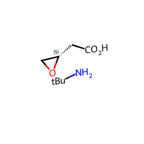 CC(C)(C)N.O=C(O)C[C@H]1CO1